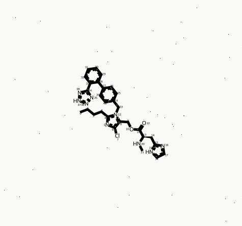 CCCCc1nc(Cl)c(COC(=O)[C@@H](Cc2ncc[nH]2)NC)n1Cc1ccc(-c2ccccc2-c2nn[nH]n2)cc1